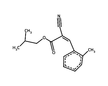 Cc1ccccc1C=C(C#N)C(=O)OCC(C)C